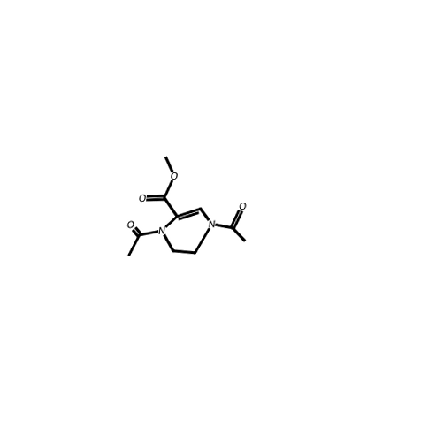 COC(=O)C1=CN(C(C)=O)CCN1C(C)=O